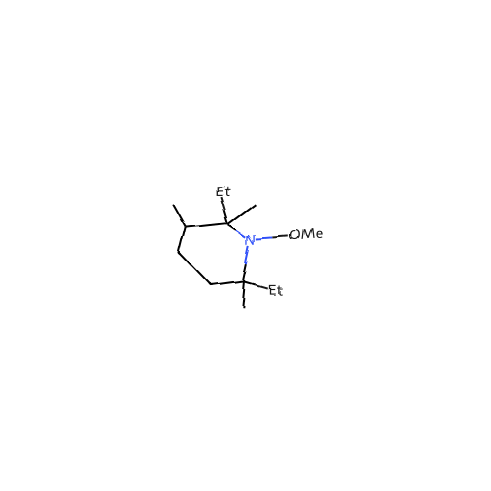 CCC1(C)CCC(C)C(C)(CC)N1OC